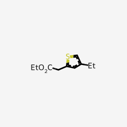 CCOC(=O)Cc1cc(CC)cs1